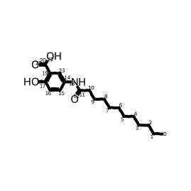 CCCCCCCCCCCC(=O)Nc1ccc(O)c(C(=O)O)c1